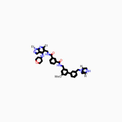 CCc1nc2c(cnn2CC)c(NC2CCOCC2)c1CNC(=O)c1cccc(C(=O)NCc2cc(OC)cc(-c3cccc(CN4C[C@@H]5C[C@H]4CN5)c3)c2)c1